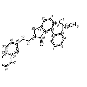 CN(C)c1ccccc1-c1cccc2c1C(=O)N(CCc1ccc3ccccc3n1)C2